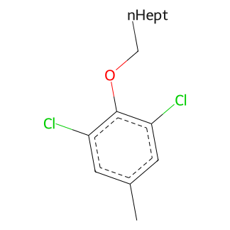 CCCCCCCCOc1c(Cl)cc(C)cc1Cl